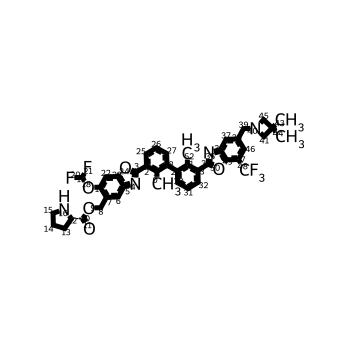 Cc1c(-c2nc3cc(COC(=O)[C@@H]4CCCN4)c(OC(F)F)cc3o2)cccc1-c1cccc(-c2nc3cc(CN4CC(C)(C)C4)cc(C(F)(F)F)c3o2)c1C